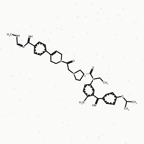 CCN(C(=O)[C@@H]1CCN(CC(=O)N2CC=C(c3ccc(C(=N)/N=C\NC)cc3)CC2)C1)c1ccc(N)c(C(=N)c2ccc(OC(C)C)cc2)c1